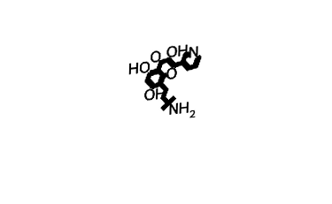 CC(C)(N)CCc1c(O)cc(O)c2c(=O)c(O)c(-c3cccnc3)oc12